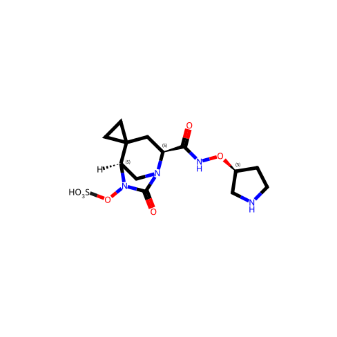 O=C(NO[C@H]1CCNC1)[C@@H]1CC2(CC2)[C@H]2CN1C(=O)N2OS(=O)(=O)O